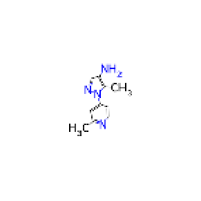 Cc1cc(-n2ncc(N)c2C)ccn1